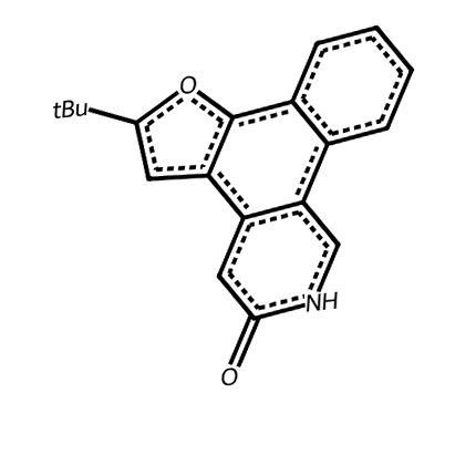 CC(C)(C)c1cc2c3cc(=O)[nH]cc3c3ccccc3c2o1